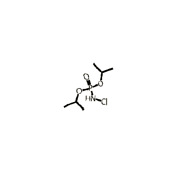 CC(C)OP(=O)(NCl)OC(C)C